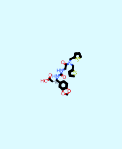 O=C(O)C[C@H](NC(=O)NCC(=O)N(Cc1cccs1)Cc1cccs1)c1ccc2c(c1)OCO2